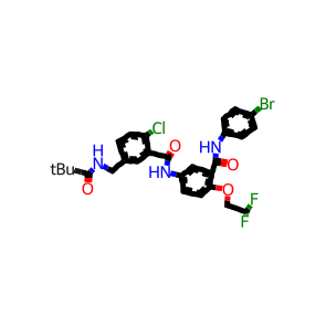 CC(C)(C)C(=O)NCc1ccc(Cl)c(C(=O)Nc2ccc(OCC(F)F)c(C(=O)Nc3ccc(Br)cc3)c2)c1